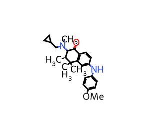 COc1ccc(Nc2ccc3c(c2)C(C)(C)[C@@H](C)C(N(C)CC2CC2)C3=O)cc1